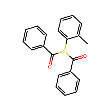 Cc1ccccc1[S+](C(=O)c1ccccc1)C(=O)c1ccccc1